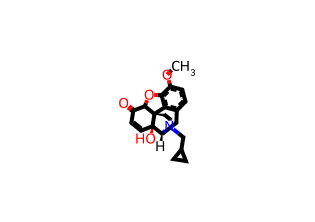 COc1ccc2c3c1OC1C(=O)C=C[C@@]4(O)[C@@H](C2)N(CC2CC2)CC[C@]314